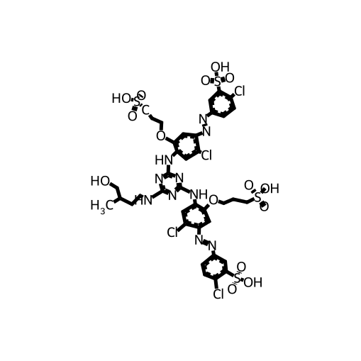 CC(CO)CCNc1nc(Nc2cc(Cl)c(N=Nc3ccc(Cl)c(S(=O)(=O)O)c3)cc2OCCCS(=O)(=O)O)nc(Nc2cc(Cl)c(N=Nc3ccc(Cl)c(S(=O)(=O)O)c3)cc2OCCCS(=O)(=O)O)n1